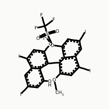 COc1cc(I)c2cc(I)cc(O)c2c1-c1c(OC)cc(I)c2cc(I)cc(OS(=O)(=O)C(F)(F)F)c12